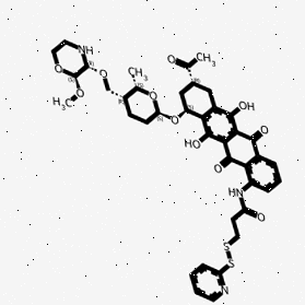 CO[C@H]1OCCN[C@@H]1OC[C@H]1CC[C@H](O[C@H]2C[C@H](C(C)=O)Cc3c(O)c4c(c(O)c32)C(=O)c2c(NC(=O)CCSSc3ccccn3)cccc2C4=O)O[C@H]1C